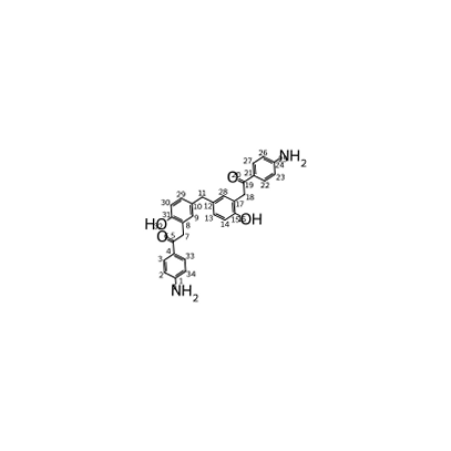 Nc1ccc(C(=O)Cc2cc(Cc3ccc(O)c(CC(=O)c4ccc(N)cc4)c3)ccc2O)cc1